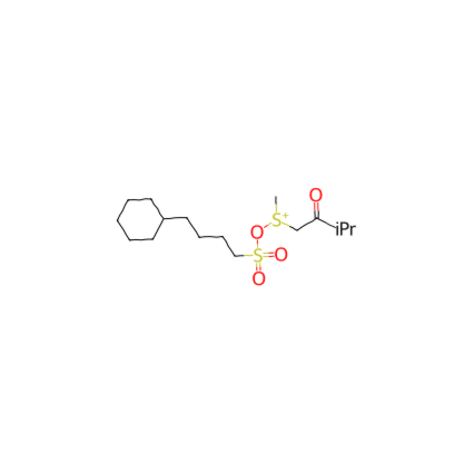 CC(C)C(=O)C[S+](C)OS(=O)(=O)CCCCC1CCCCC1